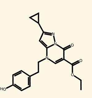 CCOC(=O)c1cn(CCc2ccc(O)cc2)c2cc(C3CC3)nn2c1=O